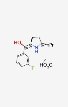 CC(=O)O.CCC[C@@H]1CC[C@H]([C@H](O)c2cccc(F)c2)N1